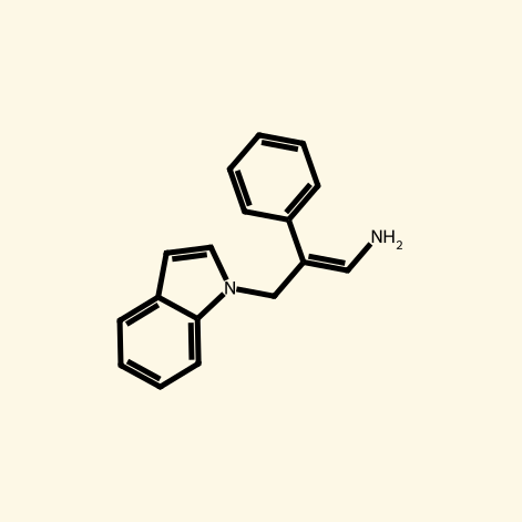 N/C=C(/Cn1ccc2ccccc21)c1ccccc1